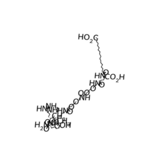 CC(C(=O)[C@@H](C)CCCCNC(=O)COCCOCCNC(=O)COCCOCCNC(=O)CC[C@H](NC(=O)CCCCCCCCCCCCCCCCC(=O)O)C(=O)O)[C@@H](CCCNC(=N)N)C(=O)N[C@@H](Cc1ccc(O)cc1)C(N)=O